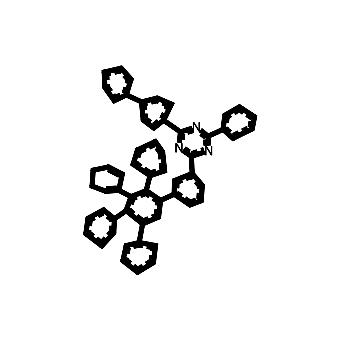 C1=CC(c2c(-c3ccccc3)c(-c3ccccc3)cc(-c3cccc(-c4nc(-c5ccccc5)nc(-c5ccc(-c6ccccc6)cc5)n4)c3)c2-c2ccccc2)=CCC1